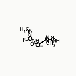 Cc1cn(-c2cc(CF)cc(NC(=O)c3ccc(F)c(C#Cc4cnc(-c5nc[nH]n5)n4C)c3)c2)cn1